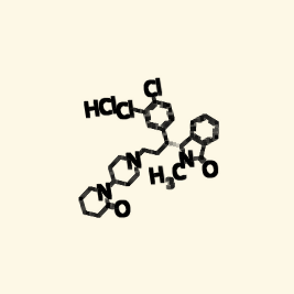 CN1C(=O)c2ccccc2[C@H]1C(CCN1CCC(N2CCCCC2=O)CC1)c1ccc(Cl)c(Cl)c1.Cl